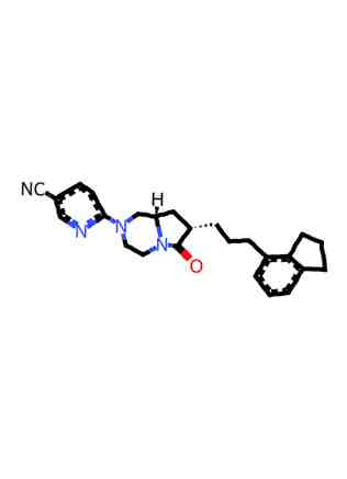 N#Cc1ccc(N2CCN3C(=O)[C@@H](CCCc4cccc5c4CCC5)C[C@H]3C2)nc1